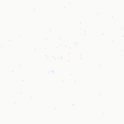 CC(C)[C@H](N)C(=O)OC(=O)OC(=O)[C@@H](N)C(C)C.[NaH].[NaH]